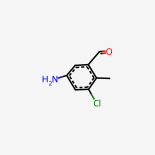 Cc1c(Cl)cc(N)cc1C=O